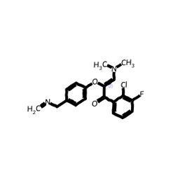 C=NCc1ccc(O/C(=C\N(C)C)C(=O)c2cccc(F)c2Cl)cc1